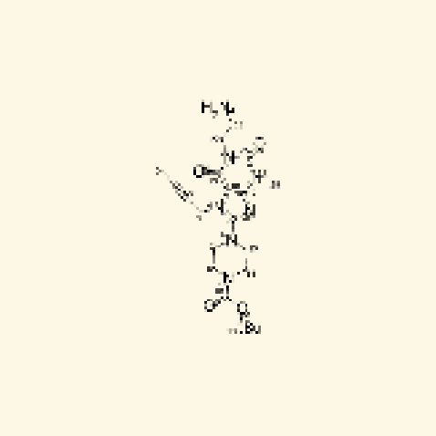 CC#CCn1c(N2CCN(C(=O)OC(C)(C)C)CC2)nc2c1c(=O)n(CCN)c(=O)n2C